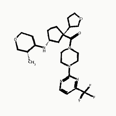 C[C@@H]1COCCC1N[C@@H]1CC[C@@](C(=O)N2CCN(c3nccc(C(F)(F)F)n3)CC2)(C2CCOC2)C1